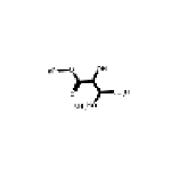 CCCOC(=O)C(O)C(O)C(=O)O.N